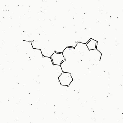 CCc1ccc(N/N=C/c2nc(OCCNC)nc(N3CCOCC3)n2)s1